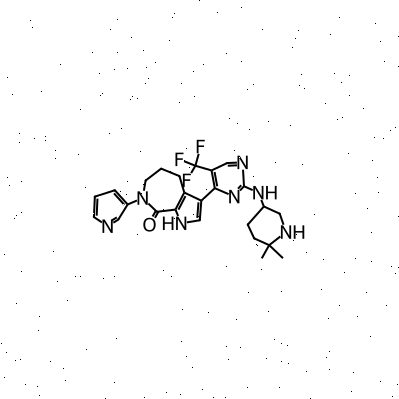 CC1(C)CCC(Nc2ncc(C(F)(F)F)c(-c3c[nH]c4c3CCCN(c3cccnc3)C4=O)n2)CN1